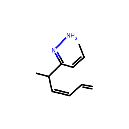 C=C/C=C\C(C)C(/C=C\C)=N/N